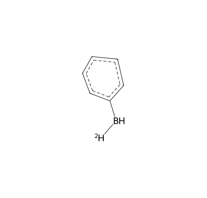 [2H]Bc1ccccc1